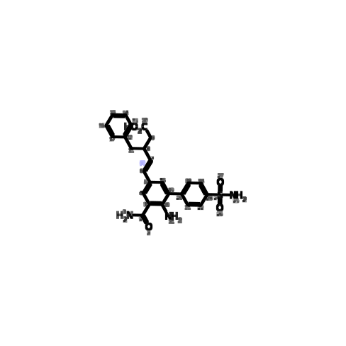 NC(=O)c1cc(/C=C/C(CC(=O)O)Cc2ccccc2)cc(-c2ccc(S(N)(=O)=O)cc2)c1N